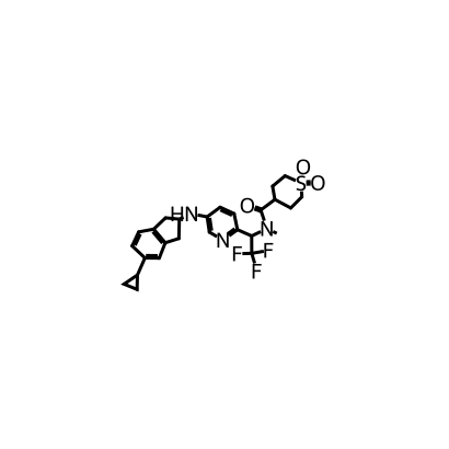 CN(C(=O)C1CCS(=O)(=O)CC1)C(c1ccc(NC2Cc3ccc(C4CC4)cc3C2)cn1)C(F)(F)F